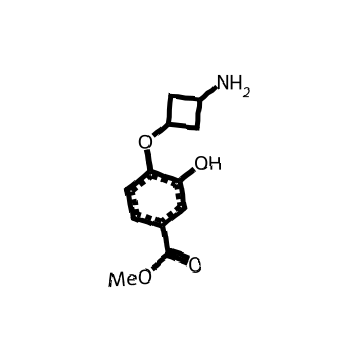 COC(=O)c1ccc(OC2CC(N)C2)c(O)c1